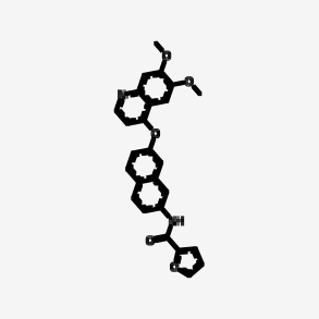 COc1cc2nccc(Oc3ccc4ccc(NC(=O)c5ccco5)cc4c3)c2cc1OC